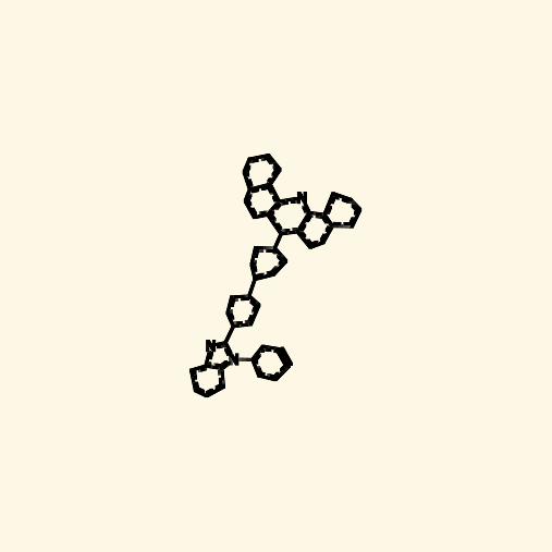 c1ccc(-n2c(-c3ccc(-c4ccc(-c5c6ccc7ccccc7c6nc6c5ccc5ccccc56)cc4)cc3)nc3ccccc32)cc#1